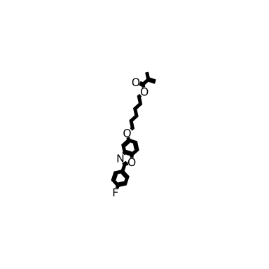 C=C(C)C(=O)OCCCCCCOc1ccc2oc(-c3ccc(F)cc3)nc2c1